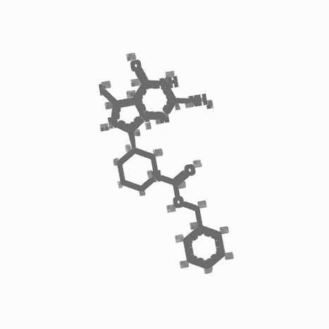 Nc1nn2c([C@@H]3CCCN(C(=O)OCc4ccccc4)C3)nc(I)c2c(=O)[nH]1